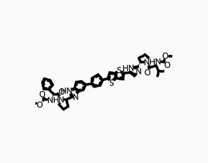 COC(=O)N[C@H](C(=O)N1CCC[C@H]1c1ncc(-c2cc3sc(-c4ccc(-c5ccc6[nH]c(C7CCCN7C(=O)[C@H](NC(=O)OC)c7ccccc7)nc6c5)cc4)cc3s2)[nH]1)C(C)C